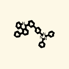 c1ccc(-c2nc(-c3ccccc3)nc(-c3ccc(-c4cccc(-c5nc6ccccc6c6c(-c7ccccc7)cccc56)c4)cc3)n2)cc1